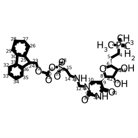 C=P(C)(C)CC[C@H]1O[C@@H](c2cn(CNCCS(=O)(=O)OC(=O)OCC3c4ccccc4-c4ccccc43)c(=O)[nH]c2=O)[C@H](O)[C@@H]1O